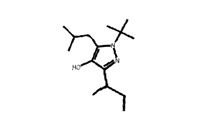 CCC(C)c1nn(C(C)(C)C)c(CC(C)C)c1O